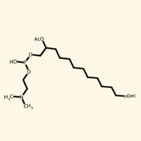 CCCCCCCCCCCCCCCCCCCCC(COP(O)OCCN(C)C)OC(C)=O